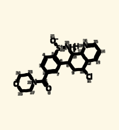 O=C(c1ccc2c(c1)C1CC(Cl)C3C=CC=NC3[C@@H]1N[S+]2[O-])N1CCOCC1